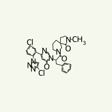 CN1CCC2(CCCN(C(=O)C(Cc3ccccc3)n3cnc(-c4cc(Cl)ccc4-n4cc(Cl)nn4)cc3=O)C2)C1=O